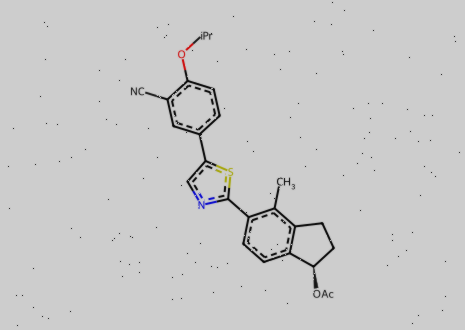 CC(=O)O[C@@H]1CCc2c1ccc(-c1ncc(-c3ccc(OC(C)C)c(C#N)c3)s1)c2C